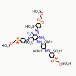 COc1cc(/N=N/c2ccc(S(=O)(=O)CCOS(=O)(=O)O)cc2S(=O)(=O)O)c(NC(C)=O)cc1/N=N/c1c(N)c(/N=N/c2ccc(S(=O)(=O)CCOS(=O)(=O)O)cc2S(=O)(=O)O)c(N)c(/N=N/c2ccc(S(=O)(=O)CCOS(=O)(=O)O)cc2)c1C(=O)O